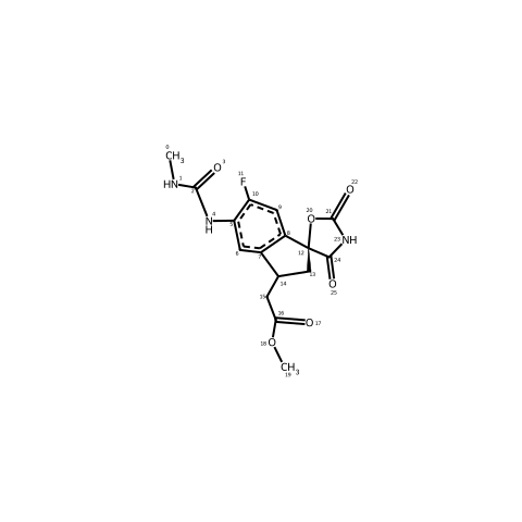 CNC(=O)Nc1cc2c(cc1F)[C@]1(CC2CC(=O)OC)OC(=O)NC1=O